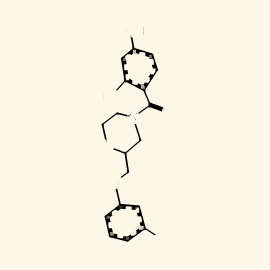 O=C(c1ccc(O)cc1O)N1CCOC(COc2cccc(Cl)c2)C1